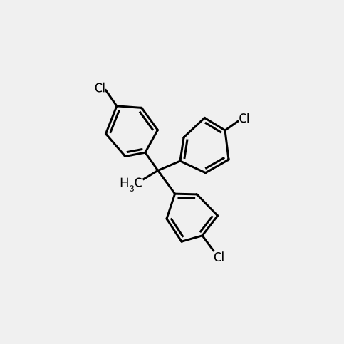 CC(c1ccc(Cl)cc1)(c1ccc(Cl)cc1)c1ccc(Cl)cc1